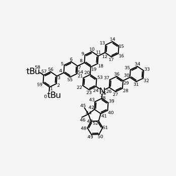 CC(C)(C)c1cc(-c2ccc(-c3ccc(-c4ccccc4)cc3-c3cccc(N(c4ccc(-c5ccccc5)cc4)c4ccc5c(c4)C(C)(C)c4ccccc4-5)c3)cc2)cc(C(C)(C)C)c1